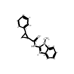 Cn1c(NC(=O)C2CC2c2ccccc2)nc2ccccc21